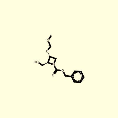 COCO[C@@H]1CN(C(=O)OCc2ccccc2)[C@H]1CO